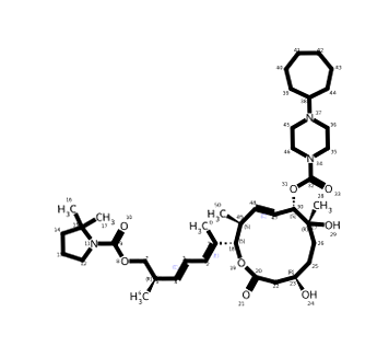 C/C(=C\C=C\[C@@H](C)COC(=O)N1CCCC1(C)C)[C@H]1OC(=O)C[C@H](O)CC[C@@](C)(O)[C@@H](OC(=O)N2CCN(C3CCCCCC3)CC2)/C=C/[C@@H]1C